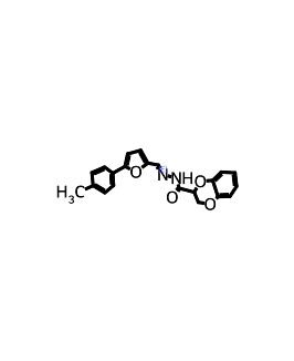 Cc1ccc(-c2ccc(/C=N/NC(=O)C3COc4ccccc4O3)o2)cc1